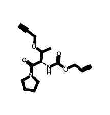 C#CCOC(C)[C@H](NC(=O)OCC=C)C(=O)N1CCCC1